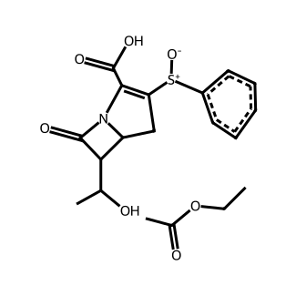 CC(O)C1C(=O)N2C(C(=O)O)=C([S+]([O-])c3ccccc3)CC12.CCOC(C)=O